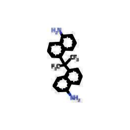 Nc1cccc2c(C(c3cccc4c(N)cccc34)(C(F)(F)F)C(F)(F)F)cccc12